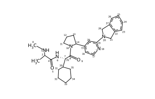 CNC(C)C(=O)N[C@H](C(=O)N1CCCC1c1ccnc(N2Cc3ccccc3C2)c1)C1CCCCC1